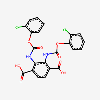 O=C(Nc1c(C(=O)O)ccc(C(=O)O)c1NC(=O)Oc1ccccc1Cl)Oc1ccccc1Cl